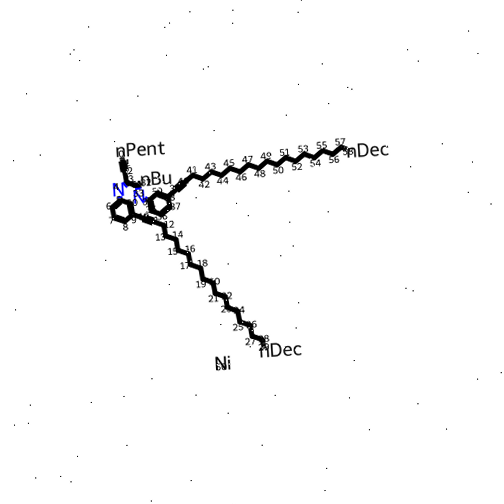 CCCCCC#CC(=Nc1cccc(C#CCCCCCCCCCCCCCCCCCCCCCCCCCCC)c1)C(CCCC)=Nc1cccc(C#CCCCCCCCCCCCCCCCCCCCCCCCCCCC)c1.[Ni]